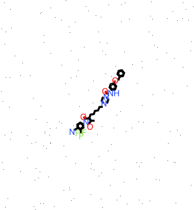 CC1=C(CCCCCCN2CCN(C(=O)Nc3ccc(OCc4ccccc4)cc3)CC2)C(=O)N(c2ccc(C#N)c(C(F)(F)F)c2)C1=O